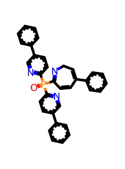 O=P(C1=NCC=C(c2ccccc2)C=C1)(c1ccc(-c2ccccc2)cn1)c1ccc(-c2ccccc2)cn1